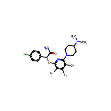 CCc1c(C#N)c(S[C@H](C(N)=O)c2ccc(F)cc2)nc(N2CCC(N(C)C)CC2)c1C#N